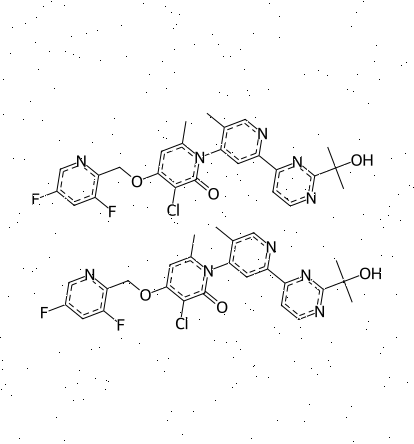 Cc1cnc(-c2ccnc(C(C)(C)O)n2)cc1-n1c(C)cc(OCc2ncc(F)cc2F)c(Cl)c1=O.Cc1cnc(-c2ccnc(C(C)(C)O)n2)cc1-n1c(C)cc(OCc2ncc(F)cc2F)c(Cl)c1=O